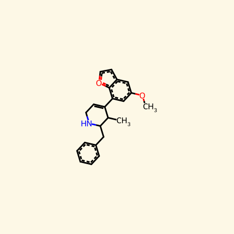 COc1cc(C2=CCNC(Cc3ccccc3)C2C)c2occc2c1